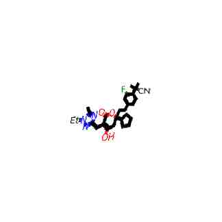 CCn1nc(CC2=C(O)CC(CCc3ccc(C(C)(C)C#N)c(F)c3)(C3CCCC3)OC2=O)nc1C